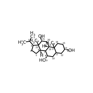 CC(C)C1CC[C@H]2C3[C@H](O)CC4C[C@H](O)CCC4(C)[C@H]3C[C@H](O)C12C